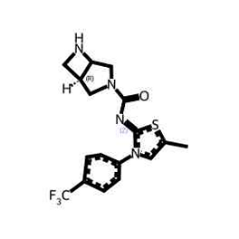 Cc1cn(-c2ccc(C(F)(F)F)cc2)/c(=N/C(=O)N2CC3NC[C@@H]3C2)s1